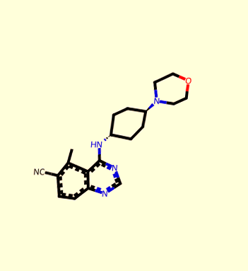 Cc1c(C#N)ccc2ncnc(N[C@H]3CC[C@H](N4CCOCC4)CC3)c12